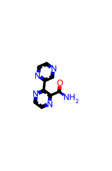 NC(=O)c1nccnc1-c1cnccn1